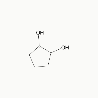 O[C]1CCCC1O